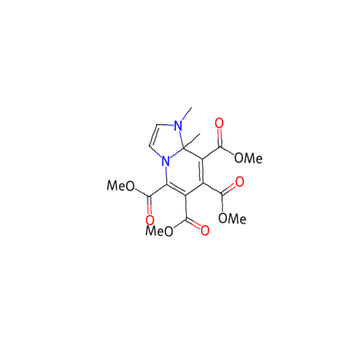 COC(=O)C1=C(C(=O)OC)N2C=CN(C)C2(C)C(C(=O)OC)=C1C(=O)OC